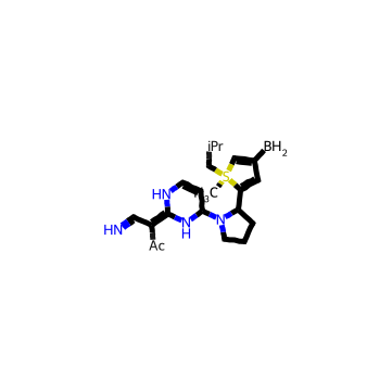 BC1=CS(C)(CC(C)C)C(C2CCCN2C2C=CN/C(=C(\C=N)C(C)=O)N2)=C1